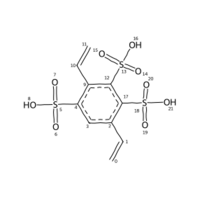 C=Cc1cc(S(=O)(=O)O)c(C=C)c(S(=O)(=O)O)c1S(=O)(=O)O